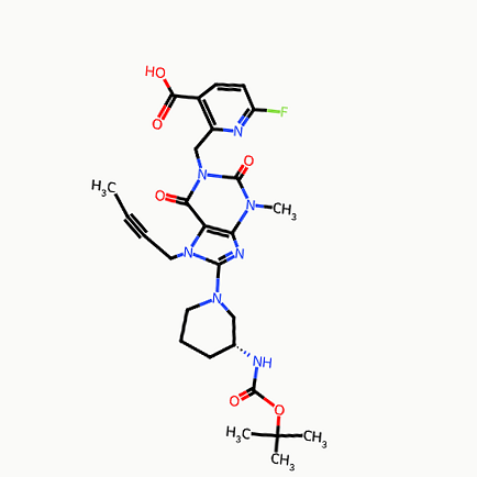 CC#CCn1c(N2CCC[C@@H](NC(=O)OC(C)(C)C)C2)nc2c1c(=O)n(Cc1nc(F)ccc1C(=O)O)c(=O)n2C